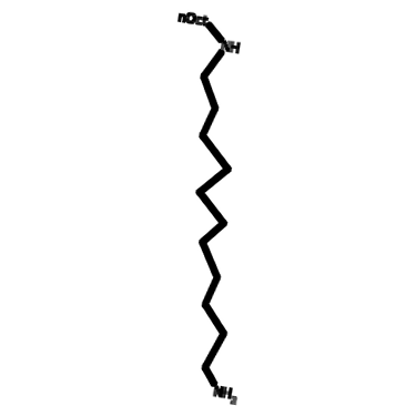 CCCCCCCCNCCCCCCCCCCCN